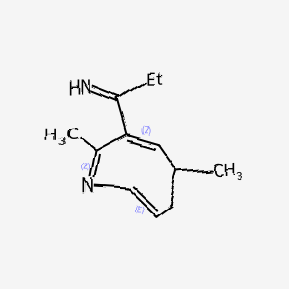 CCC(=N)C1=C/C(C)C/C=C/N=C\1C